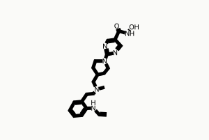 C=CNc1ccccc1CCN(C)CC1CCN(c2ncc(C(=O)NO)cn2)CC1